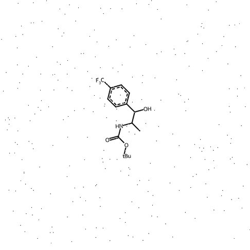 CC(NC(=O)OC(C)(C)C)C(O)c1ccc(C(F)(F)F)cc1